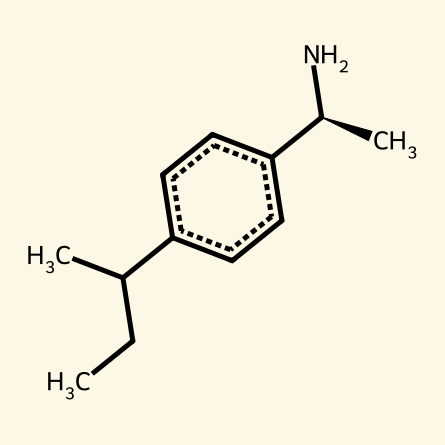 CCC(C)c1ccc([C@H](C)N)cc1